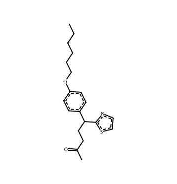 CCCCCCOc1ccc(C(CCC(C)=O)c2nccs2)cc1